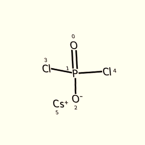 O=P([O-])(Cl)Cl.[Cs+]